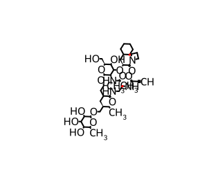 C#CC(=O)NCCNC(=O)C(C[C@@H](CC)COC1OC(C)C(O)C(O)C1O)C[C@H](C)O[C@@H]1O[C@@H](CO)C(O)C(O[C@@H](CC2CCCCC2)C(=O)N2CCC2)C1NC(C)=O